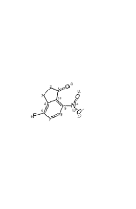 O=C1CCc2c(F)ccc([N+](=O)[O-])c21